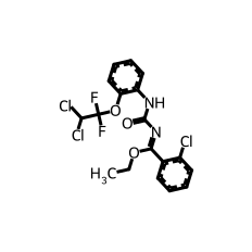 CCOC(=NC(=O)Nc1ccccc1OC(F)(F)C(Cl)Cl)c1ccccc1Cl